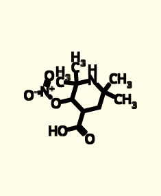 CC1(C)CC(C(=O)O)C(O[N+](=O)[O-])C(C)(C)N1